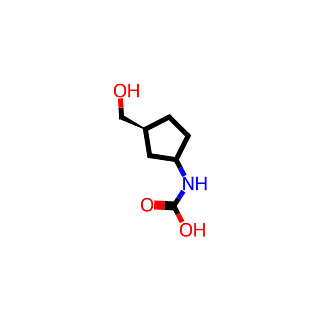 O=C(O)NC1CC[C@H](CO)C1